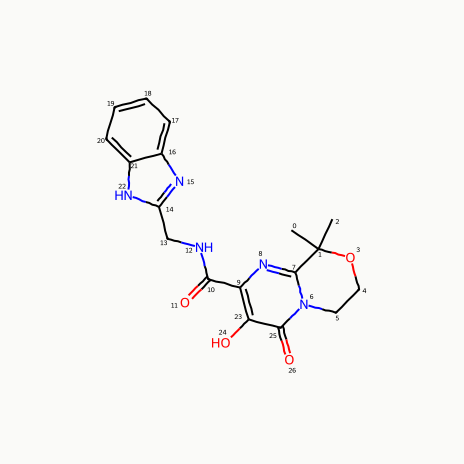 CC1(C)OCCn2c1nc(C(=O)NCc1nc3ccccc3[nH]1)c(O)c2=O